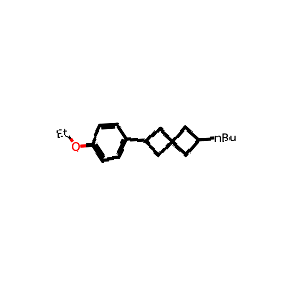 CCCCC1CC2(C1)CC(c1ccc(OCC)cc1)C2